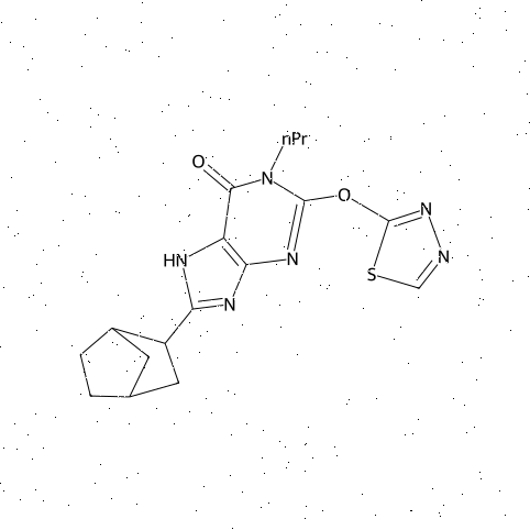 CCCn1c(Oc2nncs2)nc2nc(C3CC4CCC3C4)[nH]c2c1=O